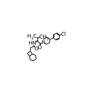 CC(C)[C@@H](NC(=O)CC1CC2CCCCC21)C(=O)N1CCC(c2ccc(Cl)cc2)CC1